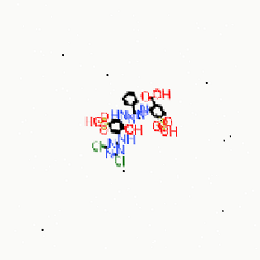 O=C(O)c1ccc(S(=O)(=O)O)cc1/N=N/C(=N/Nc1cc(S(=O)(=O)O)cc(Nc2nc(Cl)nc(Cl)n2)c1O)c1ccccc1